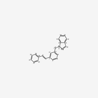 C(=Cc1cccc(Sn2ncc3ccccc32)c1)c1ccccc1